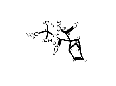 CC(C)(C)OC(=O)C1(C(=O)O)CC2C=CC1C2